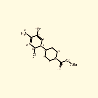 CC(C)(C)OC(=O)N1CCC(N2C=C(Br)C(N)=NC2Cl)CC1